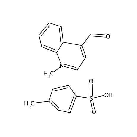 C[n+]1ccc(C=O)c2ccccc21.Cc1ccc(S(=O)(=O)O)cc1